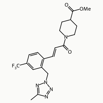 COC(=O)C1CCN(C(=O)C=Cc2ccc(C(F)(F)F)cc2Cn2nnc(C)n2)CC1